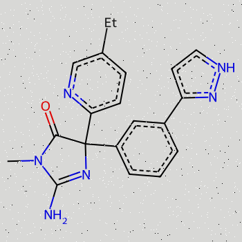 CCc1ccc(C2(c3cccc(-c4cc[nH]n4)c3)N=C(N)N(C)C2=O)nc1